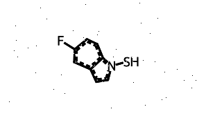 Fc1ccc2c(ccn2S)c1